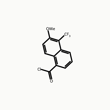 COc1ccc2c(C(=O)Cl)cccc2c1C(F)(F)F